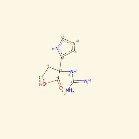 N=C(N)NC(CCl)(C(=O)O)c1cscn1